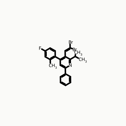 Cc1cc(F)ccc1-c1cc(-c2ccccc2)nc(C(C)C)c1C=C(Br)Br